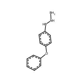 BNBc1ccc(Oc2ccccc2)cc1